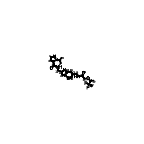 CC(C)n1nccc1C(=O)NCc1cn2ncc(CNC(=O)COC(C)C(F)(F)F)cc2n1